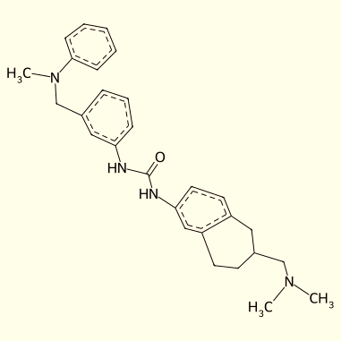 CN(C)CC1CCc2cc(NC(=O)Nc3cccc(CN(C)c4ccccc4)c3)ccc2C1